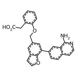 Nc1nccc2ccc(-c3cc(COc4ccccc4CC(=O)O)cc4ccoc34)cc12